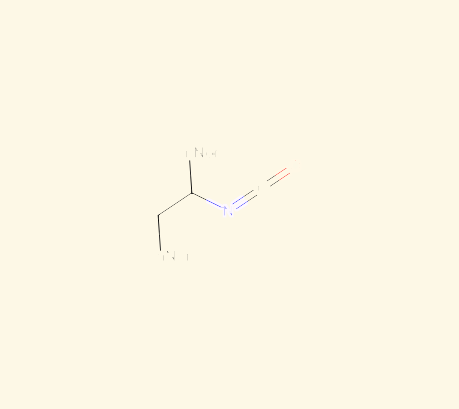 CCCCCCCCCCC(CCCCCCCCC)N=C=O